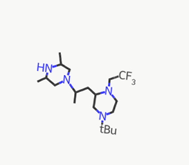 CC1CN(C(C)CC2CN(C(C)(C)C)CCN2CC(F)(F)F)CC(C)N1